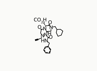 C#CCN1CC(=O)N2[C@@H](CC(=O)O)C(=O)N(CC3CCCCC3)C[C@@H]2N1C(=O)NCc1ccccc1